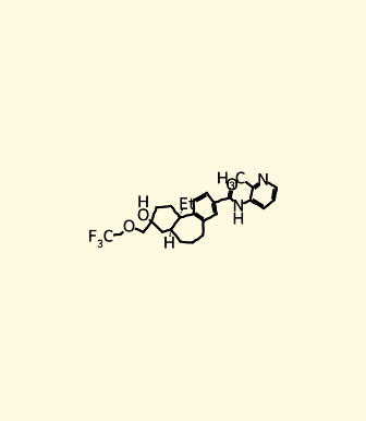 CC[C@@]12CC[C@](O)(COCC(F)(F)F)C[C@@H]1CCCc1cc(C(=O)Nc3cccnc3C)ccc12